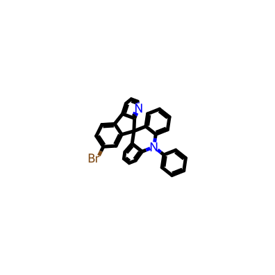 Brc1ccc2c(c1)C1(c3ccccc3N(c3ccccc3)c3ccccc31)c1ncccc1-2